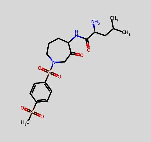 CC(C)C[C@H](N)C(=O)NC1CCCN(S(=O)(=O)c2ccc(S(C)(=O)=O)cc2)CC1=O